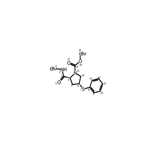 CC(C)(C)NC(=O)[C@@H]1C[C@H](Sc2ccccc2)CN1C(=O)OC(C)(C)C